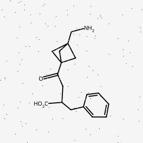 NCC12CC(C(=O)CC(Cc3ccccc3)C(=O)O)(C1)C2